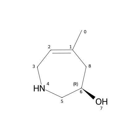 CC1=CCNC[C@H](O)C1